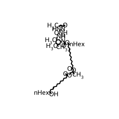 CCCCCCC(O)C/C=C/CCCCCCCC(=O)OCC(C)OC(=O)CCCCCCC/C=C/CC(CCCCCC)OC(=O)NC1CC(C)(C)CC(C)(CNC(=O)Nc2nc(=O)cc(C)[nH]2)C1